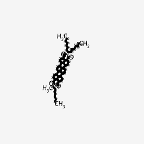 CCCCCCCC(C)N1C(=O)c2ccc3c4ccc5c6ccc7c8c(ccc(c9ccc(c%10ccc(c2c3%10)C1=O)c4c59)c86)C(=O)N(C(CCCCCCC)CCCCCCC)C7=O